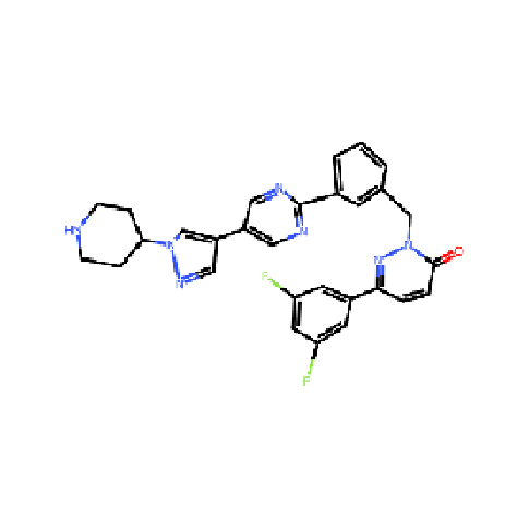 O=c1ccc(-c2cc(F)cc(F)c2)nn1Cc1cccc(-c2ncc(-c3cnn(C4CCNCC4)c3)cn2)c1